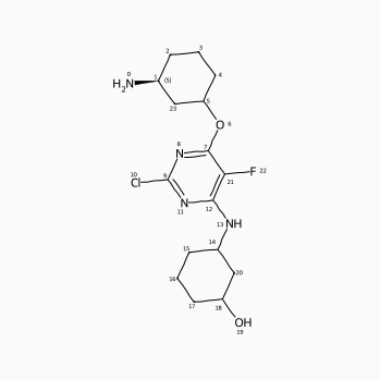 N[C@H]1CCCC(Oc2nc(Cl)nc(NC3CCCC(O)C3)c2F)C1